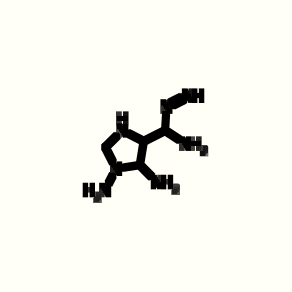 N=NC(N)C1NCN(N)C1N